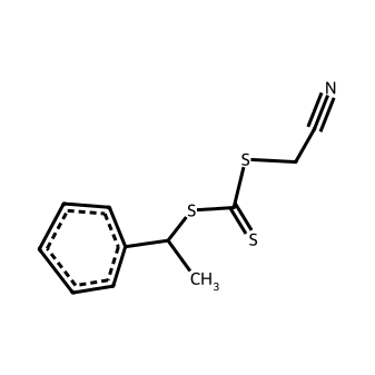 CC(SC(=S)SCC#N)c1ccccc1